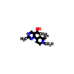 Cc1ncc(C(C)O)c(C2CCN(C(=O)O)C(C)C2)n1